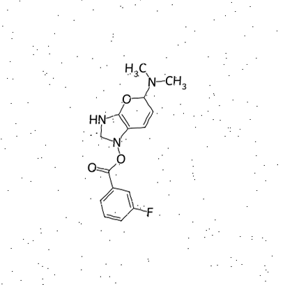 CN(C)C1C=CC2=C(NCN2OC(=O)c2cccc(F)c2)O1